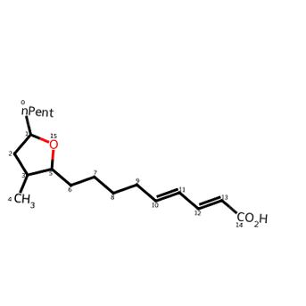 CCCCCC1CC(C)C(CCCC/C=C/C=C/C(=O)O)O1